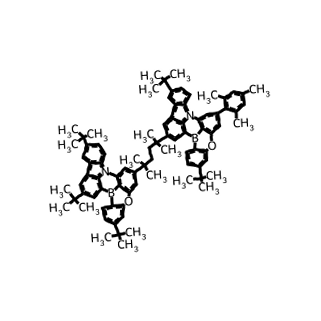 Cc1cc(C)c(-c2cc3c4c(c2)-n2c5ccc(C(C)(C)C)cc5c5cc(C(C)(C)CCC(C)(C)c6cc7c8c(c6)-n6c9ccc(C(C)(C)C)cc9c9cc(C(C)(C)C)cc(c96)B8c6ccc(C(C)(C)C)cc6O7)cc(c52)B4c2ccc(C(C)(C)C)cc2O3)c(C)c1